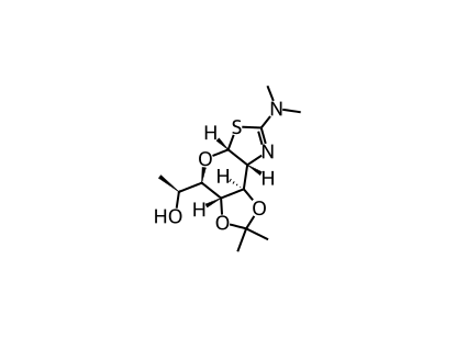 C[C@H](O)[C@H]1O[C@@H]2SC(N(C)C)=N[C@@H]2[C@H]2OC(C)(C)O[C@@H]21